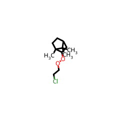 CC1(C)C2CCC1(C)C(OOCCCl)C2